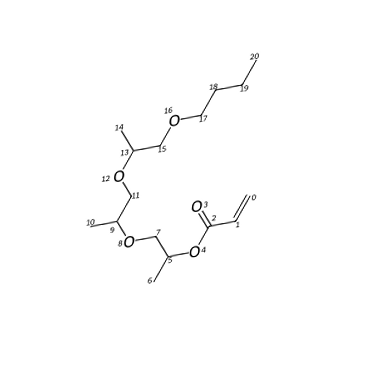 C=CC(=O)OC(C)COC(C)COC(C)COCCCC